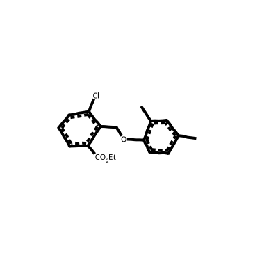 CCOC(=O)c1cccc(Cl)c1COc1ccc(C)cc1C